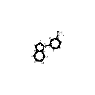 Bc1cccc(-n2ccc3ccccc32)c1